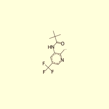 [CH2]c1ncc(C(F)(F)F)cc1NC(=O)C(C)(C)C